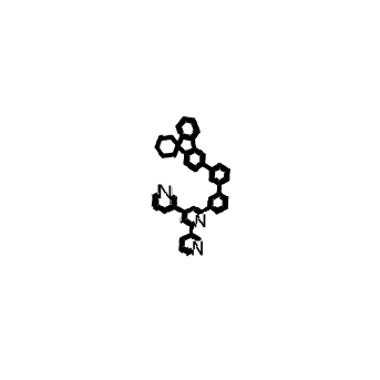 c1cncc(-c2cc(-c3cccnc3)nc(-c3cccc(-c4cccc(-c5ccc6c(c5)-c5ccccc5C65CCCCC5)c4)c3)c2)c1